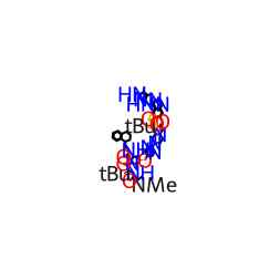 CN[C@@H](C)C(=O)N[C@H](C(=O)N1C[C@@H](Oc2cnc(N3CCN(CCOc4cc5ncnc(Nc6n[nH]c(C)c6C)c5cc4S(=O)(=O)C(C)(C)C)CC3)nc2)C[C@H]1C(=O)NCC1CCCc2ccccc21)C(C)(C)C